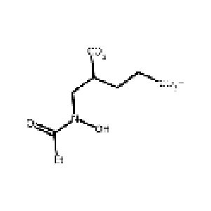 CCC(=O)N(O)CC(CCC(=O)O)C(=O)O